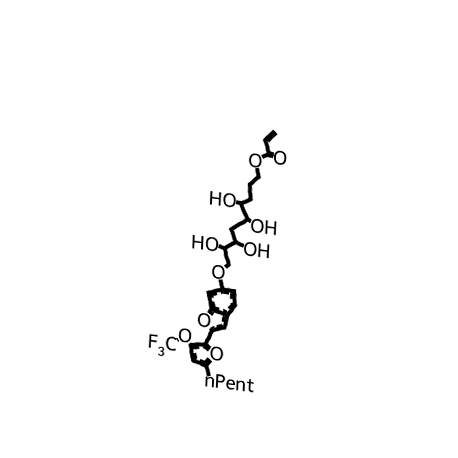 C=CC(=O)OCCCC(O)C(O)CC(O)C(O)COc1ccc2cc(-c3oc(CCCCC)cc3OC(F)(F)F)oc2c1